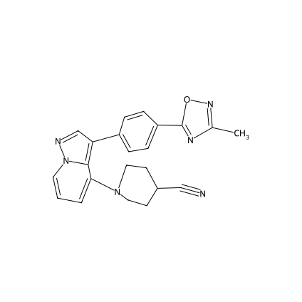 Cc1noc(-c2ccc(-c3cnn4cccc(N5CCC(C#N)CC5)c34)cc2)n1